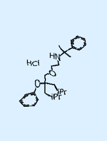 CC(C)CC(COCCNC(C)(C)c1ccccc1)(CC(C)C)Oc1ccccc1.Cl